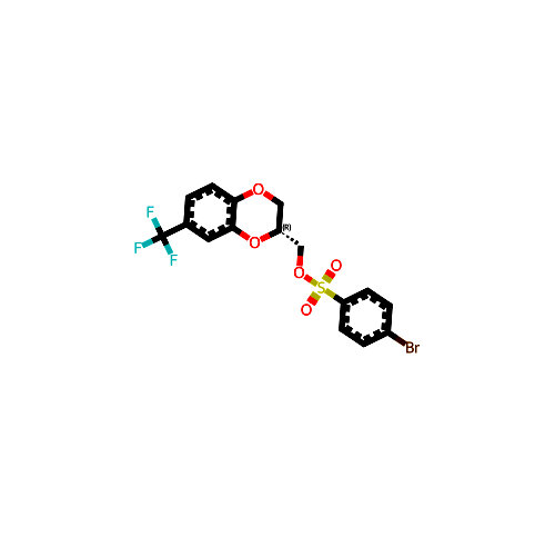 O=S(=O)(OC[C@H]1COc2ccc(C(F)(F)F)cc2O1)c1ccc(Br)cc1